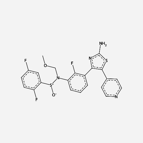 COCN(c1cccc(-c2nc(N)sc2-c2ccncc2)c1F)[S+]([O-])c1cc(F)ccc1F